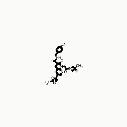 Cc1ncc(-c2cnc3c(c2)cc(C(=O)NCc2ccc(Cl)cc2)c(=O)n3CC(=O)N2CC(C)(F)C2)o1